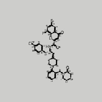 O=C(N[C@H](C=C1CCN(c2ccccc2CN2CCCCC2=O)CC1)Cc1ccc(Cl)cc1)c1cc(=O)c2cc(F)cc(F)c2o1